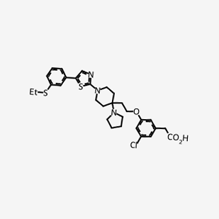 CCSc1cccc(-c2cnc(N3CCC(CCOc4cc(Cl)cc(CC(=O)O)c4)(N4CCCC4)CC3)s2)c1